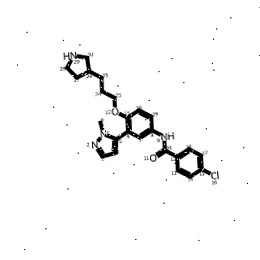 Cn1nccc1-c1cc(NC(=O)c2ccc(Cl)cc2)ccc1OCCCC1CCNC1